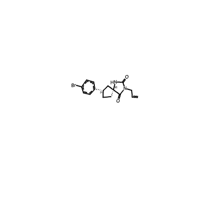 C=CCN1C(=O)N[C@@]2(CC[C@H](c3ccc(Br)cc3)C2)C1=O